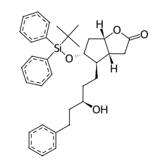 CC(C)(C)[Si](O[C@@H]1C[C@@H]2OC(=O)C[C@@H]2[C@H]1CC[C@@H](O)CCc1ccccc1)(c1ccccc1)c1ccccc1